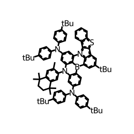 Cc1cc2c(cc1N1c3cc(N(c4ccc(C(C)(C)C)cc4)c4ccc(C(C)(C)C)cc4)ccc3B3c4c1cc(N(c1ccc(C(C)(C)C)cc1)c1ccc(C(C)(C)C)cc1)cc4-n1c4c3cc(C(C)(C)C)cc4c3sc4ccccc4c31)C(C)(C)CCC2(C)C